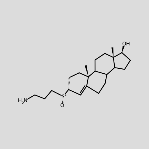 C[C@]12CC[C@@H]([S@+]([O-])CCCN)C=C1CCC1C2CC[C@@]2(C)C1CC[C@@H]2O